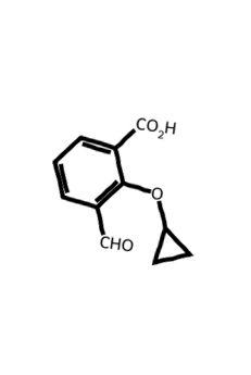 O=Cc1cccc(C(=O)O)c1OC1CC1